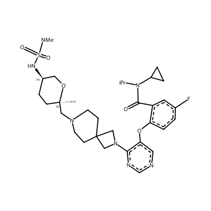 CNS(=O)(=O)N[C@@H]1CC[C@](C)(CN2CCC3(CC2)CN(c2ncncc2Oc2ccc(F)cc2C(=O)N(C(C)C)C2CC2)C3)OC1